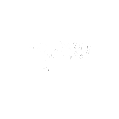 CCNCCNc1cc(Cl)ccc1COc1cc(F)c(S(=O)(=O)NC(=O)NC)cc1F